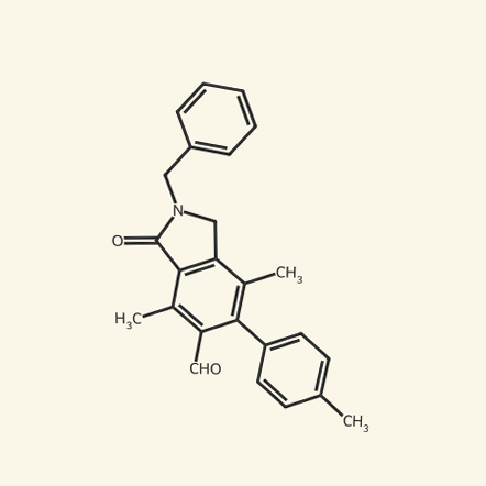 Cc1ccc(-c2c(C)c3c(c(C)c2C=O)C(=O)N(Cc2ccccc2)C3)cc1